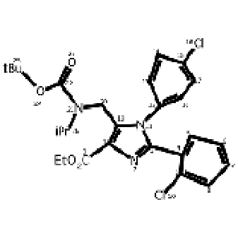 CCOC(=O)c1nc(-c2ccccc2Cl)n(-c2ccc(Cl)cc2)c1CN(C(=O)OC(C)(C)C)C(C)C